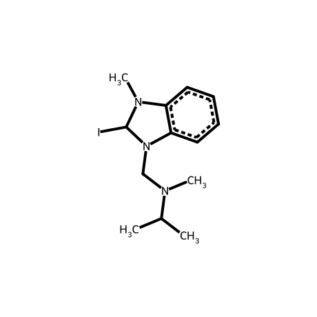 CC(C)N(C)CN1c2ccccc2N(C)C1I